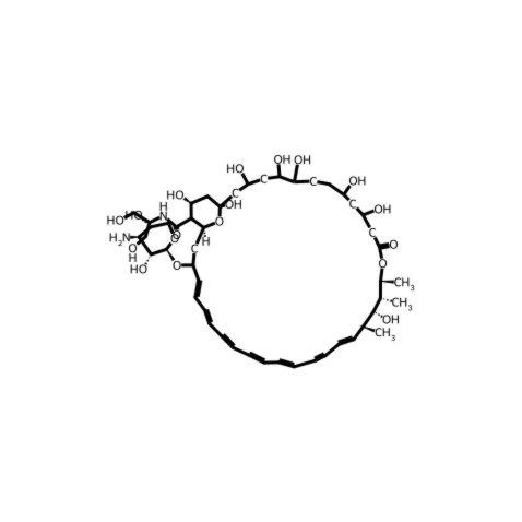 C[C@@H]1[C@H](O)[C@@H](C)/C=C/C=C/C=C/C=C/C=C/C=C/C=C/C(O[C@@H]2OC[C@@H](O)[C@H](N)[C@H]2O)C[C@@H]2OC(O)(CC(O)CC(O)C(O)CCC(O)CC(O)CC(=O)O[C@H]1C)C[C@H](O)C2C(=O)NC(CO)CO